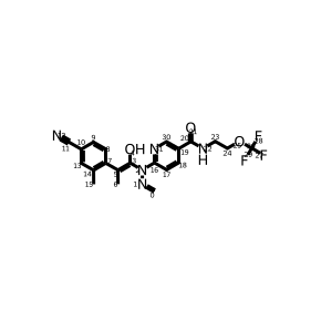 C=NN(/C(O)=C(\C)c1ccc(C#N)cc1C)c1ccc(C(=O)NCCOC(F)(F)F)cn1